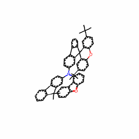 CC(C)(C)c1ccc2c(c1)C1(c3cc(C(C)(C)C)ccc3O2)c2ccccc2-c2ccc(N(c3ccc4c(c3)C(C)(C)c3ccccc3-4)c3cccc4oc5ccccc5c34)cc21